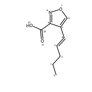 CCCC=Cc1conc1C(=O)O